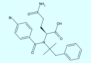 CC(C)(Cc1ccccc1)N(C(=O)c1ccc(Br)cc1)[C@@H](CCC(N)=O)C(=O)O